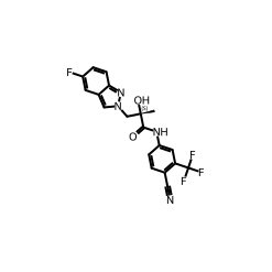 C[C@](O)(Cn1cc2cc(F)ccc2n1)C(=O)Nc1ccc(C#N)c(C(F)(F)F)c1